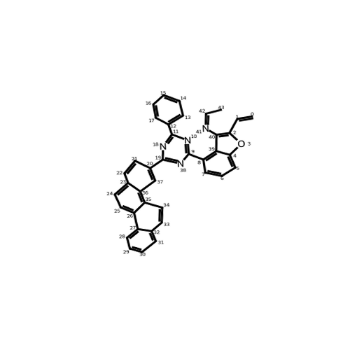 C=Cc1oc2cccc(-c3nc(-c4ccccc4)nc(-c4ccc5ccc6c7ccccc7ccc6c5c4)n3)c2c1/N=C\C